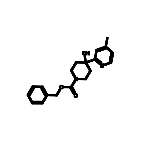 Cc1ccnc(C2(O)CCN(C(=O)OCc3ccccc3)CC2)c1